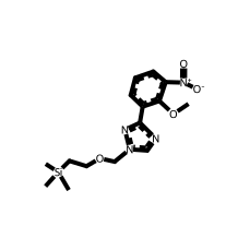 COc1c(-c2ncn(COCC[Si](C)(C)C)n2)cccc1[N+](=O)[O-]